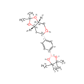 CC1(C)O[C@H]2C[C@@H](c3ccc(B4OC(C)(C)C(C)(C)O4)cc3)OC[C@H]2O1